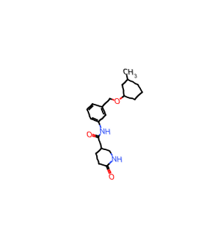 CC1CCCC(OCc2cccc(NC(=O)C3CCC(=O)NC3)c2)C1